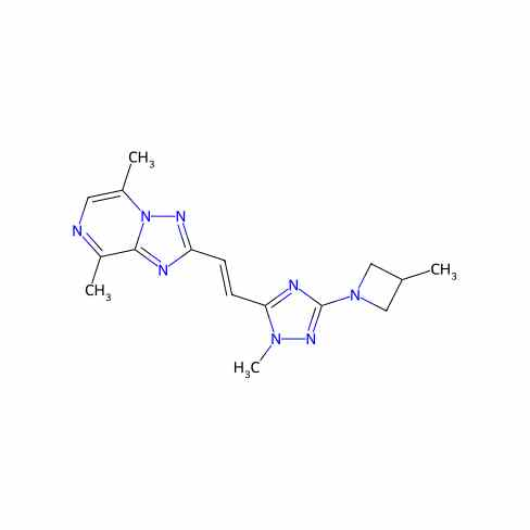 Cc1ncc(C)n2nc(C=Cc3nc(N4CC(C)C4)nn3C)nc12